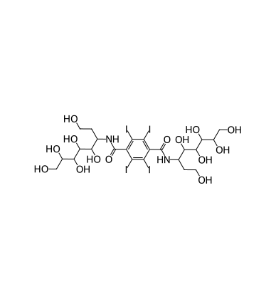 O=C(NC(CCO)C(O)C(O)C(O)C(O)CO)c1c(I)c(I)c(C(=O)NC(CCO)C(O)C(O)C(O)C(O)CO)c(I)c1I